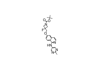 Cc1ncc(Nc2nccc3cc(OCC4(F)CN(C(=O)OC(C)(C)C)C4)ccc23)cn1